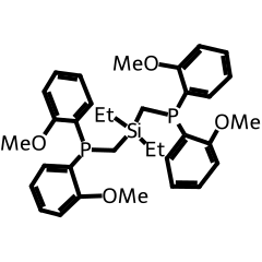 CC[Si](CC)(CP(c1ccccc1OC)c1ccccc1OC)CP(c1ccccc1OC)c1ccccc1OC